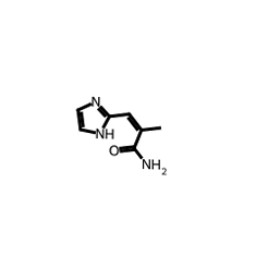 CC(=Cc1ncc[nH]1)C(N)=O